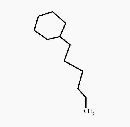 [CH2]CCCCC[C]1CCCCC1